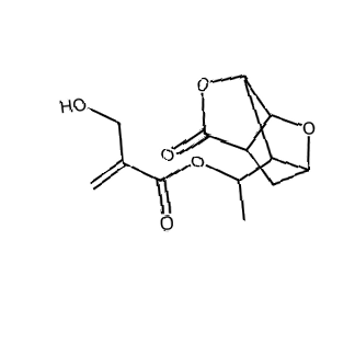 C=C(CO)C(=O)OC(C)C1C2CC3C(=O)OC1C3O2